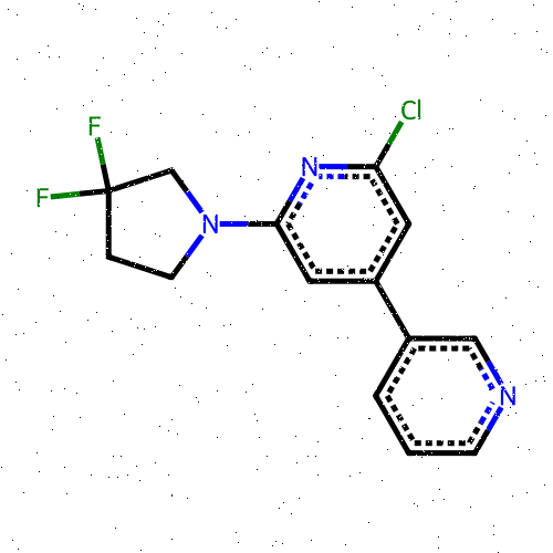 FC1(F)CCN(c2cc(-c3cccnc3)cc(Cl)n2)C1